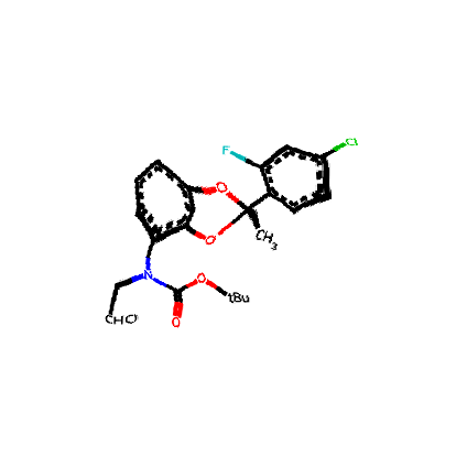 CC(C)(C)OC(=O)N(CC=O)c1cccc2c1OC(C)(c1ccc(Cl)cc1F)O2